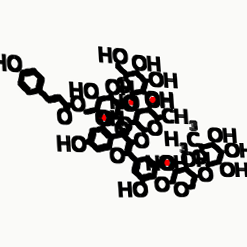 CC1O[C@@H](O[C@@H]2CO[C@@H](Oc3c(O)cc(-c4oc5cc(O)cc(O)c5c(=O)c4O[C@@H]4OC(C)[C@H](O)[C@H](O)C4O[C@@H]4OC(COC(=O)/C=C/c5ccc(O)cc5)[C@@H](O)[C@@H](O)C4O[C@@H]4OC(CO)[C@@H](O)[C@@H](O)C4O)cc3O)C(O)[C@@H]2O)C(O)[C@@H](O)[C@H]1O